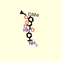 COc1ccc2cc(C(=O)Nc3ccc(C(C)(C)N)cc3)c(=O)oc2c1OCC1CC1